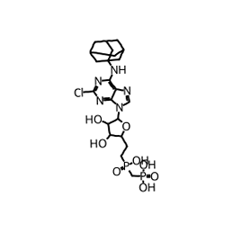 O=P(O)(O)CP(=O)(O)CCC1OC(n2cnc3c(NC45CC6CC(CC(C6)C4)C5)nc(Cl)nc32)C(O)C1O